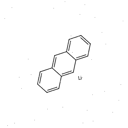 [Li].c1ccc2cc3ccccc3cc2c1